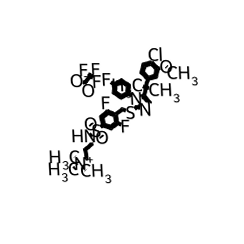 COc1cc(C(C)(C)c2cnc(SCc3c(F)cc(S(=O)(=O)NCCC[N+](C)(C)C)cc3F)n2-c2ccc(F)cc2)ccc1Cl.O=C([O-])C(F)(F)F